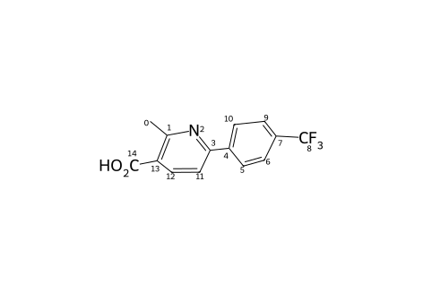 Cc1nc(-c2ccc(C(F)(F)F)cc2)ccc1C(=O)O